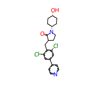 O=C1C(Cc2c(Cl)cc(-c3ccncc3)cc2Cl)CCN1[C@H]1CC[C@@H](O)CC1